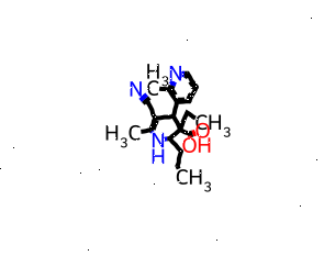 CCCC1NC(C)=C(C#N)C(c2cccnc2C)C1(CC)C(=O)O